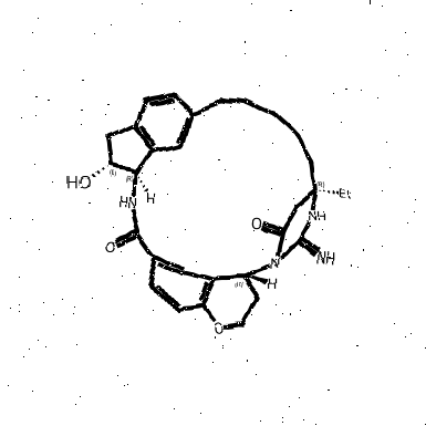 CC[C@]12CCCCCc3ccc4c(c3)[C@@H](NC(=O)c3ccc5c(c3)[C@@H](CCO5)N(C(=N)N1)C(=O)C2)[C@H](O)C4